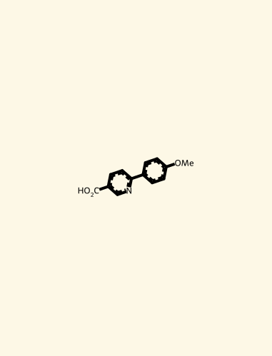 COc1ccc(-c2ccc(C(=O)O)cn2)cc1